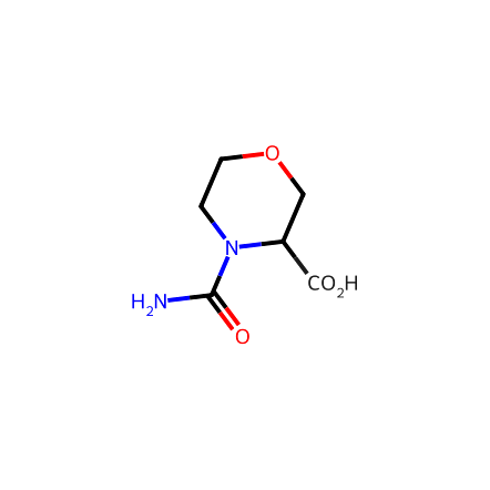 NC(=O)N1CCOCC1C(=O)O